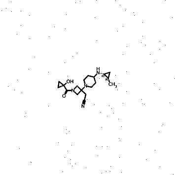 C[C@@H]1C[C@H]1NC1CCN(C2(CC#N)CN(C(=O)C3(O)CC3)C2)CC1